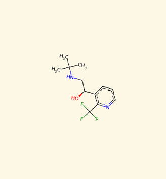 CC(C)(C)NC[C@H](O)c1cccnc1C(F)(F)F